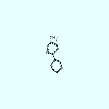 [CH2]c1ccc(-c2ccccc2)nc1